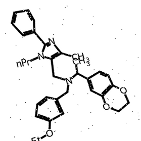 CCCn1c(-c2ccccc2)nc(C)c1CN(Cc1cccc(OCC)c1)C(C)c1ccc2c(c1)OCCO2